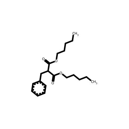 CCCCCOC(=O)C(Cc1cc[c]cc1)C(=O)OCCCCC